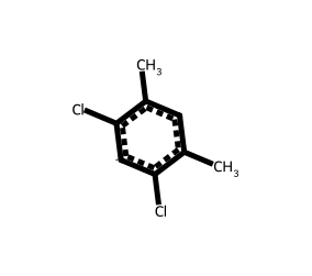 Cc1cc(C)c(Cl)[c]c1Cl